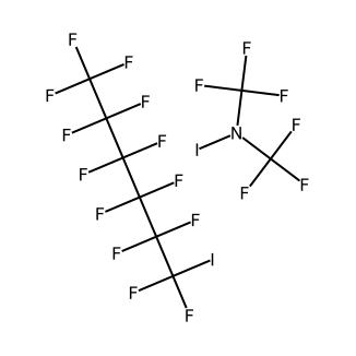 FC(F)(F)C(F)(F)C(F)(F)C(F)(F)C(F)(F)C(F)(F)I.FC(F)(F)N(I)C(F)(F)F